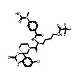 CN(C(=O)O)c1ccc(C(=O)N[C@@H](CCCCNC(=O)C(F)(F)F)C(=O)N2CCC[C@@]3(C2)OC(=O)Nc2ccc(Cl)cc23)cc1